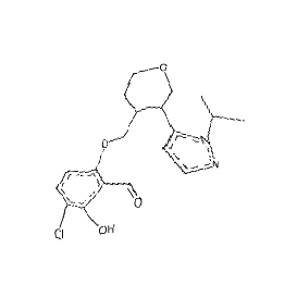 CC(C)n1nccc1C1COCCC1COc1ccc(Cl)c(O)c1C=O